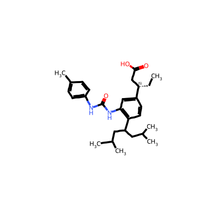 CC[C@@H](CC(=O)O)c1ccc(C(CC(C)C)CC(C)C)c(NC(=O)Nc2ccc(C)cc2)c1